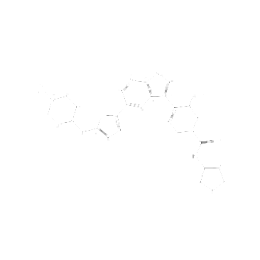 CC1CN(C(=O)NC2CCCC2)CC=C1c1c[nH]c2ncc(-c3ccc(CN4CCN(C)CC4)s3)cc12